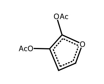 CC(=O)Oc1ccoc1OC(C)=O